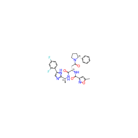 Cc1cc(C(=O)N[C@@H](CC(=O)N2CCC[C@@H]2c2ccccc2)C(=O)N[C@@H](C)c2ncc(-c3ccc(F)cc3F)[nH]2)no1